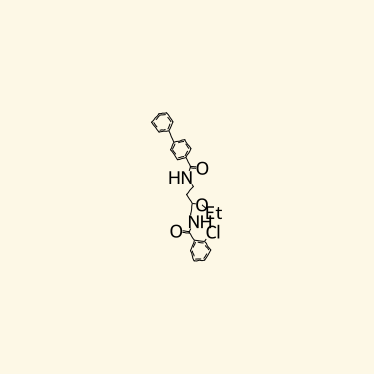 CCOC(CCNC(=O)c1ccc(-c2ccccc2)cc1)CNC(=O)c1ccccc1Cl